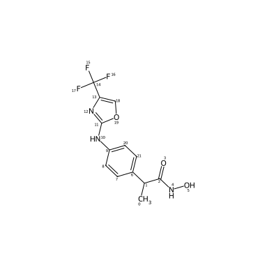 CC(C(=O)NO)c1ccc(Nc2nc(C(F)(F)F)co2)cc1